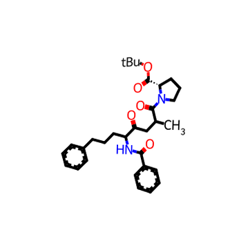 CC(CC(=O)C(CCCc1ccccc1)NC(=O)c1ccccc1)C(=O)N1CCC[C@H]1C(=O)OC(C)(C)C